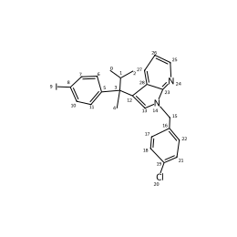 CC(C)C(C)(c1ccc(I)cc1)c1cn(Cc2ccc(Cl)cc2)c2ncccc12